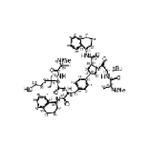 CN[C@@H](C)C(=O)NC(C(=O)N[C@@H](Cc1ccc([C@H]2C[C@@H](C(=O)N[C@@H]3CCCc4ccccc43)N(C(=O)[C@@H](NC(=O)[C@H](C)NC)C(C)(C)C)C2)cc1)C(=O)N[C@@H]1CCCc2ccccc21)C(C)(C)SCCO